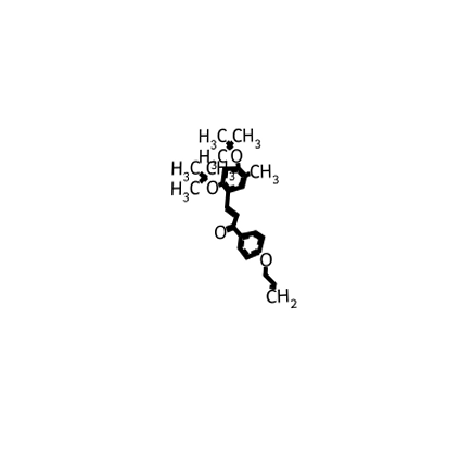 C=CCOc1ccc(C(=O)C=Cc2cc(C)c(OC(C)(C)C)cc2OC(C)(C)C)cc1